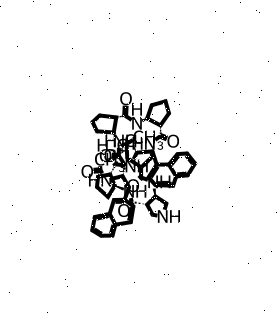 CC(=O)N[C@H](CC(=O)N[C@H]1CCC[C@@H]1C(=O)N[C@H]1CCC[C@@H]1C(=O)NCC(CC(C)C)C(=O)N[C@H]1CNC[C@@H]1C(=O)N[C@H]1CCC[C@@H]1C(=O)N[C@H](C)Cc1cccc2ccccc12)Cc1ccc2ccccc2c1